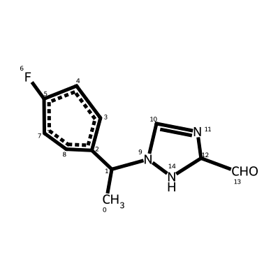 CC(c1ccc(F)cc1)N1C=NC(C=O)N1